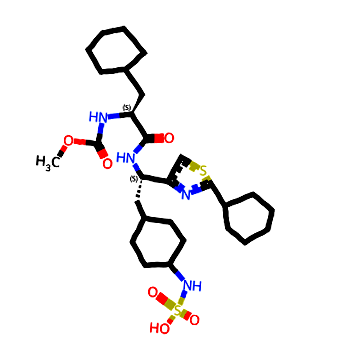 COC(=O)N[C@@H](CC1CCCCC1)C(=O)N[C@@H](CC1CCC(NS(=O)(=O)O)CC1)c1csc(C2CCCCC2)n1